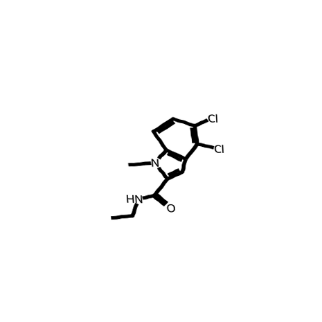 CCNC(=O)c1cc2c(Cl)c(Cl)ccc2n1C